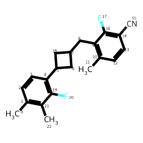 Cc1ccc(C2CC(Cc3c(C)ccc(C#N)c3F)C2)c(F)c1C